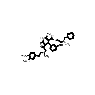 COc1ccc(CCN(C)Cc2nsc3c2C(c2cccc([N+](=O)[O-])c2)C(C(=O)OCCN(C)Cc2ccccc2)=C(C)N3)cc1OC